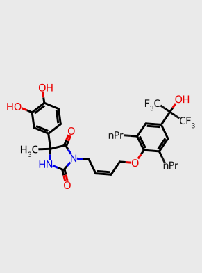 CCCc1cc(C(O)(C(F)(F)F)C(F)(F)F)cc(CCC)c1OC/C=C\CN1C(=O)NC(C)(c2ccc(O)c(O)c2)C1=O